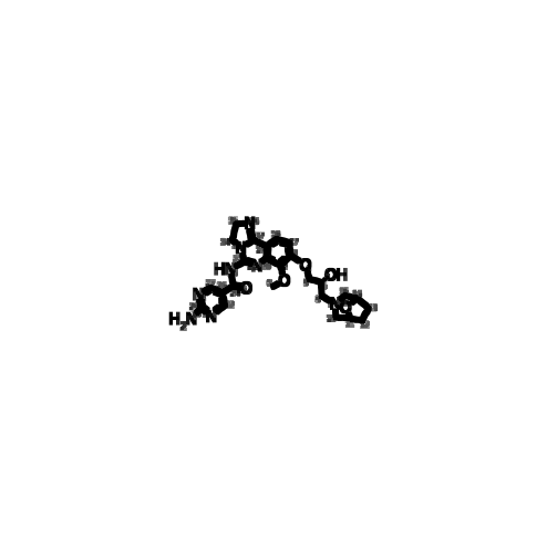 COc1c(OC[C@H](O)CN2CC3CCC(C2)O3)ccc2c1N=C(NC(=O)c1cnc(N)nc1)N1CCN=C21